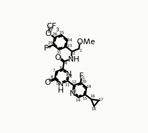 COCC(NC(=O)c1cc(=O)[nH]c(-c2ncc(C3CC3)cc2F)n1)c1ccc(OC(F)(F)F)c(F)c1